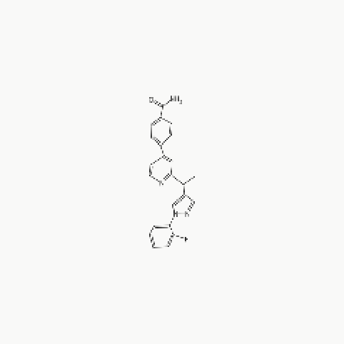 CC(c1cnn(-c2ccccc2F)c1)c1cc(-c2ccc(C(N)=O)cc2)ccn1